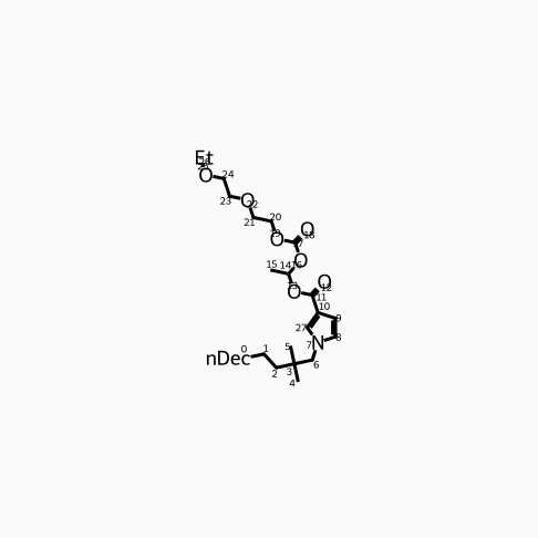 CCCCCCCCCCCCC(C)(C)Cn1ccc(C(=O)OC(C)OC(=O)OCCOCCOCC)c1